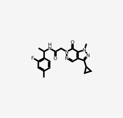 Cc1ccc(C(C)NC(=O)Cn2ncc3c(C4CC4)nn(C)c3c2=O)c(F)c1